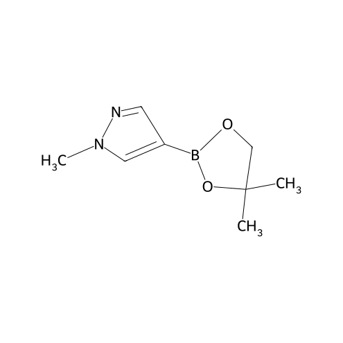 Cn1cc(B2OCC(C)(C)O2)cn1